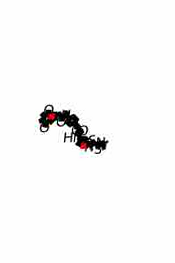 CC1=C(C)C(=O)C(C(C)(C)CC(=O)N(C)c2ccc(COC(=O)Nc3ccc4nc(C5=N[C@@H](C)CS5)sc4c3)cc2)=C(C)C1=O